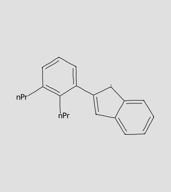 CCCc1cccc(C2=Cc3ccccc3[CH]2)c1CCC